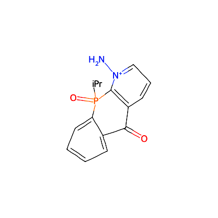 CC(C)P1(=O)c2ccccc2C(=O)c2ccc[n+](N)c21